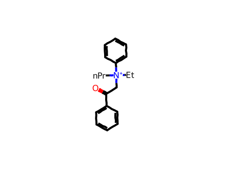 CCC[N+](CC)(CC(=O)c1ccccc1)c1ccccc1